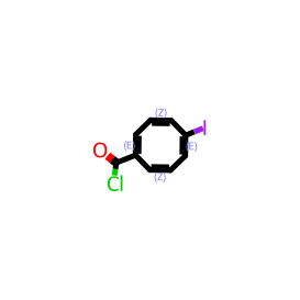 O=C(Cl)C1=C/C=C\C(I)=C/C=C\1